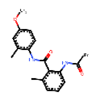 Cc1cc(OC(F)(F)F)ccc1NC(=O)c1c(C)cccc1NC(=O)C(C)C